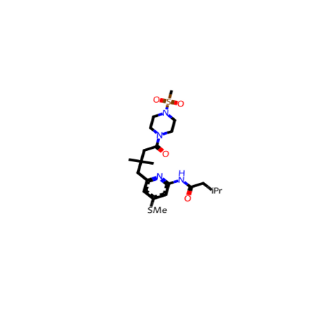 CSc1cc(CC(C)(C)CC(=O)N2CCN(S(C)(=O)=O)CC2)nc(NC(=O)CC(C)C)c1